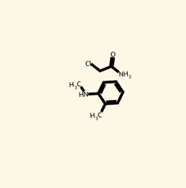 CNc1ccccc1C.NC(=O)CCl